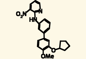 COc1ccc(-c2cccc(Nc3ncccc3[N+](=O)[O-])c2)cc1OC1CCCC1